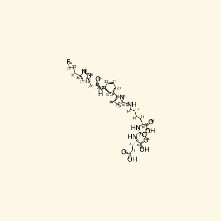 O=C(O)CC[C@H](NC(=O)N[C@@H](CCCCNc1nc(-c2cccc(NC(=O)Cn3cc(CCCF)nn3)c2)cs1)C(=O)O)C(=O)O